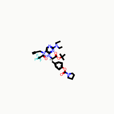 C#CCN(C(=O)C(F)(F)F)c1cnc(N(CC)CC)nc1N[C@@H](Cc1ccc(OC(=O)N2CCCC2)cc1)C(=O)OC(C)(C)C